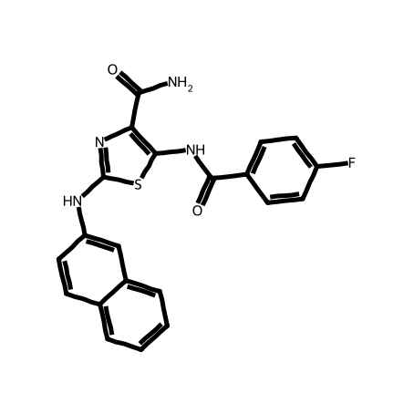 NC(=O)c1nc(Nc2ccc3ccccc3c2)sc1NC(=O)c1ccc(F)cc1